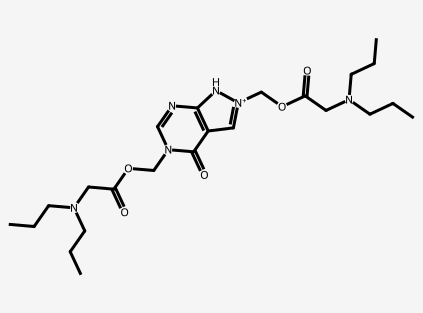 CCCN(CCC)CC(=O)OCn1cnc2[nH][n+](COC(=O)CN(CCC)CCC)cc2c1=O